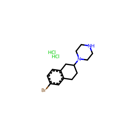 Brc1ccc2c(c1)CCC(N1CCNCC1)C2.Cl.Cl